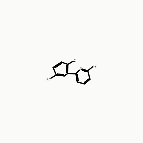 CC(=O)c1ccc(Cl)c(-c2cccc(C(C)C)n2)c1